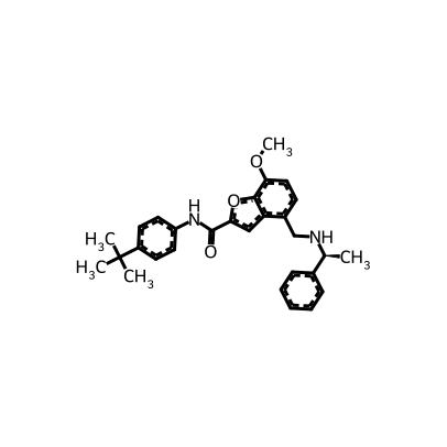 COc1ccc(CN[C@@H](C)c2ccccc2)c2cc(C(=O)Nc3ccc(C(C)(C)C)cc3)oc12